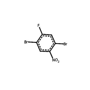 O=[N+]([O-])c1cc(Br)c(F)cc1Br